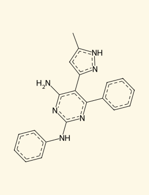 Cc1cc(-c2c(N)nc(Nc3ccccc3)nc2-c2ccccc2)n[nH]1